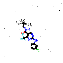 CC(C)(C)CNC(=O)c1cnc(Nc2cccc(Cl)c2)nc1C(F)(F)F